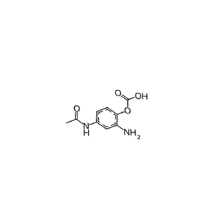 CC(=O)Nc1ccc(OC(=O)O)c(N)c1